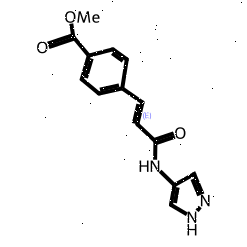 COC(=O)c1ccc(/C=C/C(=O)Nc2cn[nH]c2)cc1